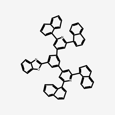 c1ccc2c(-c3cc(-c4cc(-c5cc(-c6cccc7ccccc67)nc(-c6cccc7ccccc67)c5)cc(-c5nc6ccccc6o5)c4)cc(-c4cccc5ccccc45)n3)cccc2c1